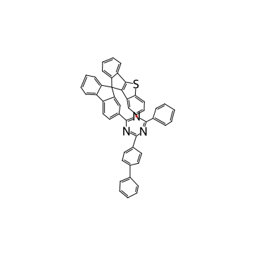 c1ccc(-c2ccc(-c3nc(-c4ccccc4)nc(-c4ccc5c(c4)C4(c6ccccc6-5)c5ccccc5-c5sc6ccccc6c54)n3)cc2)cc1